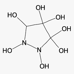 OC1N(O)N(O)C(O)(O)C1(O)O